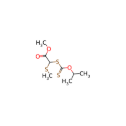 COC(=O)C(SC)SC(=S)OC(C)C